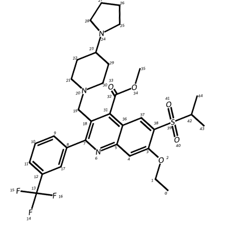 CCOc1cc2nc(-c3cccc(C(F)(F)F)c3)c(CN3CCC(N4CCCC4)CC3)c(C(=O)OC)c2cc1S(=O)(=O)C(C)C